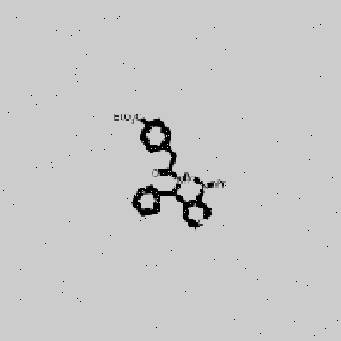 CCCN(CCC)c1ccccc1C(NC(=O)Cc1ccc(C(=O)OCC)cc1)c1ccccc1